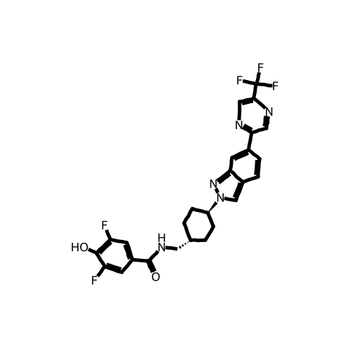 O=C(NC[C@H]1CC[C@H](n2cc3ccc(-c4cnc(C(F)(F)F)cn4)cc3n2)CC1)c1cc(F)c(O)c(F)c1